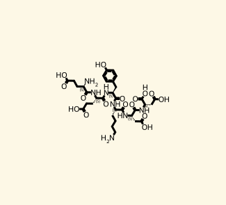 NCCCC[C@H](NC(=O)[C@H](Cc1ccc(O)cc1)NC(=O)[C@H](CCC(=O)O)NC(=O)[C@@H](N)CCC(=O)O)C(=O)N[C@@H](CC(=O)O)C(=O)N[C@@H](CC(=O)O)C(=O)O